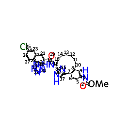 COC(=O)Nc1ccc2c(c1)CCCCCCC(NC(=O)C=Cc1cc(Cl)ccc1-n1cnnn1)c1nc-2c[nH]1